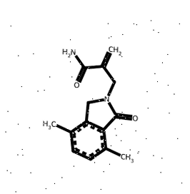 C=C(CN1Cc2c(C)ccc(C)c2C1=O)C(N)=O